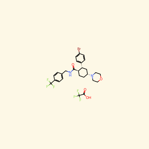 O=C(NCc1ccc(C(F)(F)F)cc1)[C@@H]1CC[C@@H](N2CCOCC2)C[C@H]1c1ccc(Br)cc1.O=C(O)C(F)(F)F